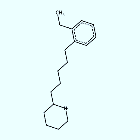 CCc1ccccc1CCCCCC1CCCC[N]1